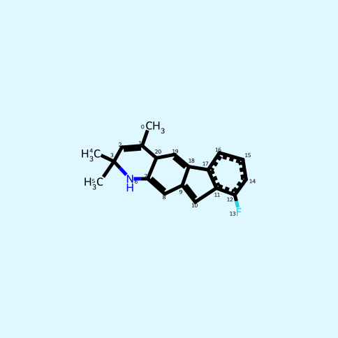 CC1=CC(C)(C)NC2=CC3=Cc4c(F)cccc4C3=CC12